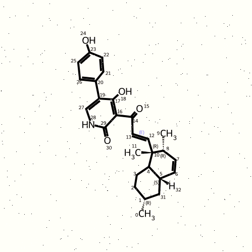 C[C@@H]1CCC2[C@H](C=C[C@@H](C)[C@@]2(C)/C=C/C(=O)c2c(O)c(-c3ccc(O)cc3)c[nH]c2=O)C1